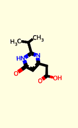 CC(C)c1nc(CC(=O)O)cc(=O)[nH]1